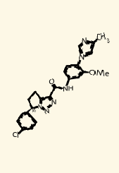 COc1cc(NC(=O)c2nnn3c2CC[C@@H]3c2ccc(Cl)cc2)ccc1-n1cnc(C)c1